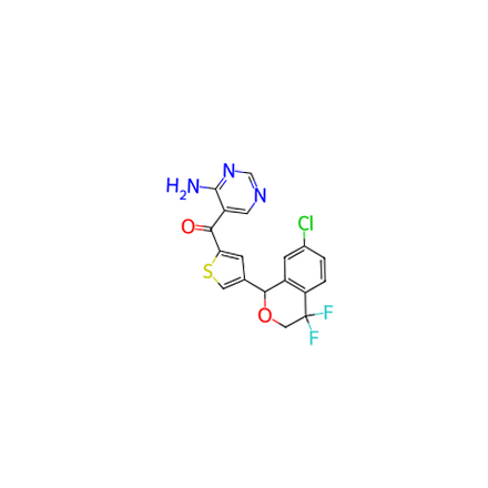 Nc1ncncc1C(=O)c1cc(C2OCC(F)(F)c3ccc(Cl)cc32)cs1